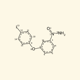 N[N+](=O)c1c[c]cc(Oc2ccc(I)cc2)c1